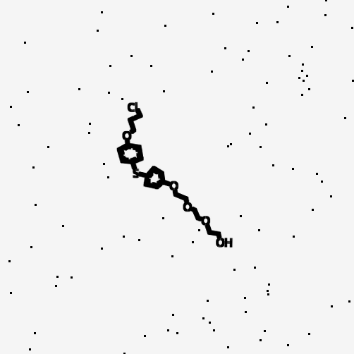 OCCOCCOCCOc1ccc(Sc2ccc(OCCCCl)cc2)cc1